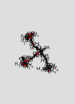 CC(=O)NC1C(OCCOCCC(=O)NCCCCNC(=O)CCOCC(COCCC(=O)NCCCCNC(=O)CCOCCOC2OC(COC(C)=O)C(OC(C)=O)C(OC(C)=O)C2NC(C)=O)(COCCC(=O)NCCCCNC(=O)CCOCCOC2OC(COC(C)=O)C(OC(C)=O)C(OC(C)=O)C2NC(C)=O)NC(=O)CCOCCO)OC(COC(C)=O)C(OC(C)=O)C1OC(C)=O